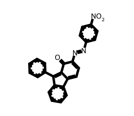 O=C1C(N=Nc2ccc([N+](=O)[O-])cc2)=CC=C2C1=C(c1ccccc1)c1ccccc12